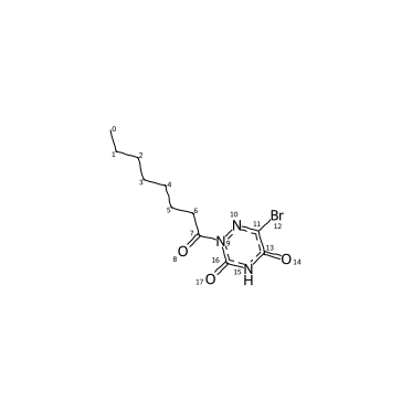 CCCCCCCC(=O)n1nc(Br)c(=O)[nH]c1=O